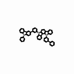 c1ccc(-c2cccc(-n3c4ccccc4c4ccc5c(c6ccccc6n5-c5cccc(-c6ccc7c(c6)c6ccccc6n7-c6ccccc6)c5)c43)c2)cc1